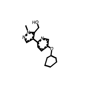 Cn1ncc(-c2ccc(OC3CCCCC3)cn2)c1CO